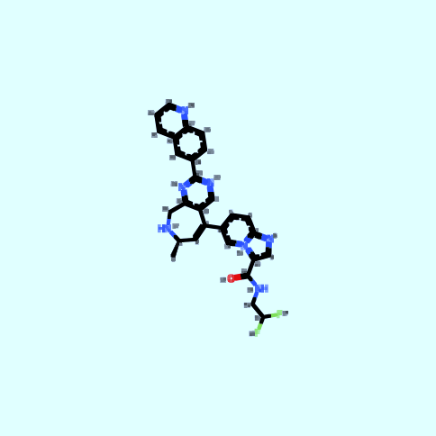 C[C@@H]1C=C(c2ccc3ncc(C(=O)NCC(F)F)n3c2)c2cnc(-c3ccc4ncccc4c3)nc2CN1